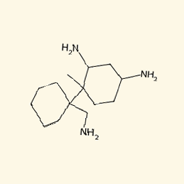 CC1(C2(CN)CCCCC2)CCC(N)CC1N